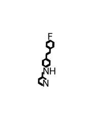 Fc1ccc(/C=C/c2ccc(NCc3cccnc3)cc2)cc1